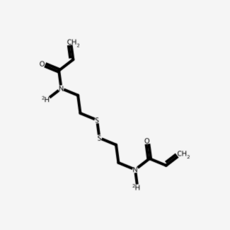 [2H]N(CCSSCCN([2H])C(=O)C=C)C(=O)C=C